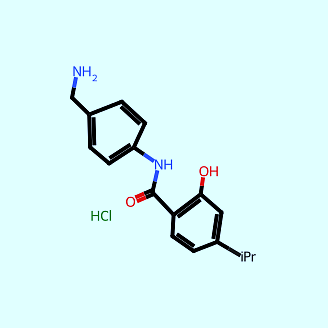 CC(C)c1ccc(C(=O)Nc2ccc(CN)cc2)c(O)c1.Cl